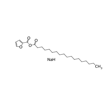 CCCCCCCCCCCCCCCCCC(=O)OC(=O)c1ccco1.[NaH]